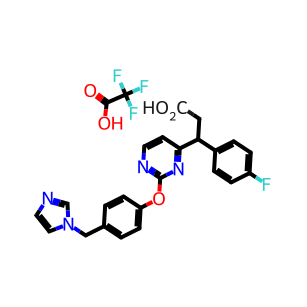 O=C(O)C(F)(F)F.O=C(O)CC(c1ccc(F)cc1)c1ccnc(Oc2ccc(Cn3ccnc3)cc2)n1